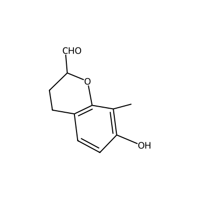 Cc1c(O)ccc2c1OC(C=O)CC2